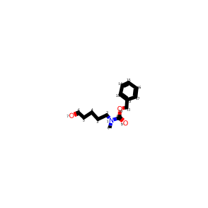 CN(CCCCC=O)C(=O)OCc1ccccc1